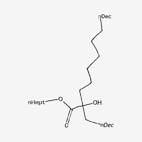 CCCCCCCCCCCCCCCCC(O)(CCCCCCCCCCC)C(=O)OCCCCCCC